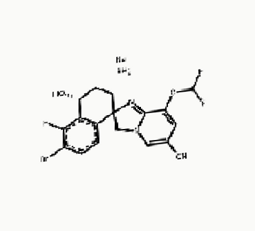 N#CC1=CN2C[C@@]3(CC[C@@H](O)c4c3ccc(Br)c4F)N=C2C(OC(F)F)=C1.[BH4-].[Na+]